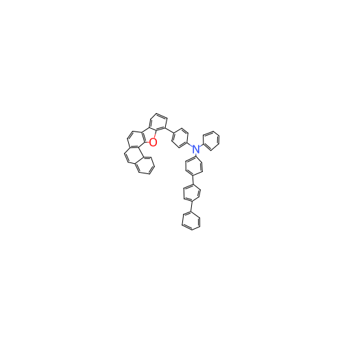 c1ccc(-c2ccc(-c3ccc(N(c4ccccc4)c4ccc(-c5cccc6c5oc5c6ccc6ccc7ccccc7c65)cc4)cc3)cc2)cc1